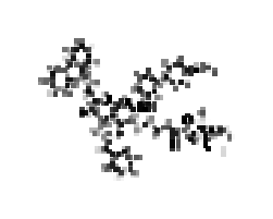 CN1CCN(c2cccc(NC(=O)[C@H](CCCCNC(=O)OC(C)(C)C)NC(=O)[C@H](COCc3ccccc3)NC(=O)OCC3c4ccccc4-c4ccccc43)c2)CC1